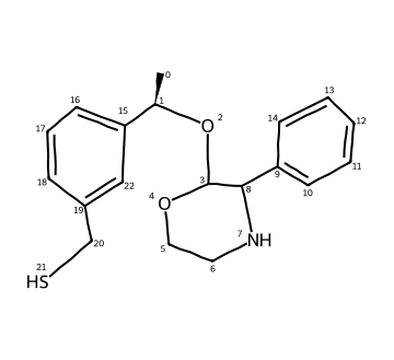 C[C@@H](OC1OCCNC1c1ccccc1)c1cccc(CS)c1